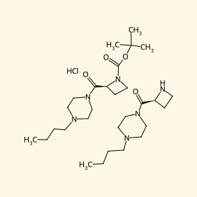 CCCCN1CCN(C(=O)[C@@H]2CCN2)CC1.CCCCN1CCN(C(=O)[C@@H]2CCN2C(=O)OC(C)(C)C)CC1.Cl